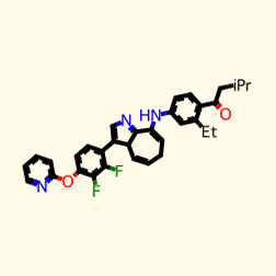 CCc1cc(NC2=CCC=CC3C(c4ccc(Oc5ccccn5)c(F)c4F)=CN=C23)ccc1C(=O)CC(C)C